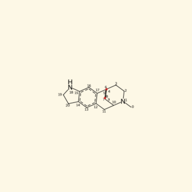 CN1CCC23CCCCC2C1Cc1cc2c(cc13)NCC2